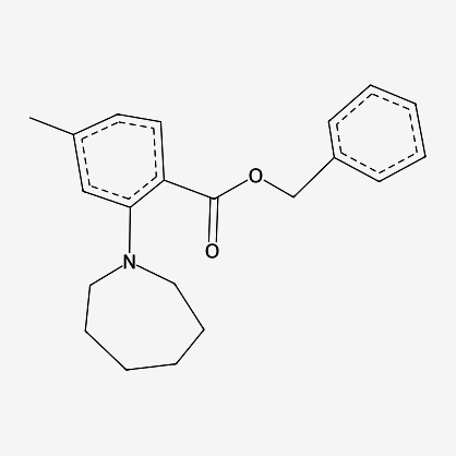 Cc1ccc(C(=O)OCc2ccccc2)c(N2CCCCCC2)c1